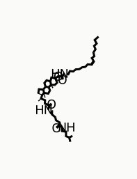 CCCCCCCC/C=C\CCCCCCCCNC(=O)OC1CC[C@@]2(C)C(CCC3C2CC[C@@]2(C)C3CC[C@@H]2[C@H](C)CCC(=O)NCCCCCC(=O)NCCCC(C)C)C1